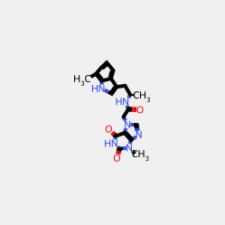 Cc1cccc2c(C[C@@H](C)NC(=O)Cn3cnc4c3c(=O)[nH]c(=O)n4C)c[nH]c12